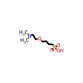 CN(C)CCOCCCCS(=O)(=O)O